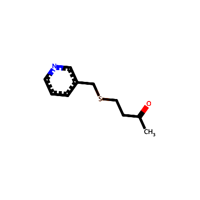 CC(=O)CCSCc1cccnc1